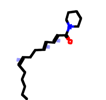 CCCCC/C=C\CC/C=C/C=C/C(=O)N1CCCCC1